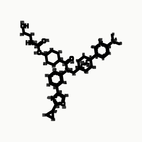 CN(C)c1ccc(C23CCC(CN(C(=O)C4CCC(OC(=O)NCCO)CC4)c4cccc(-c5coc(C6CC6)n5)c4)(CC2)CC3)cn1